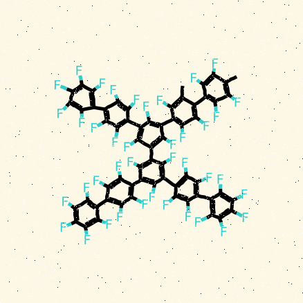 Cc1c(F)c(F)c(-c2c(C)c(F)c(-c3c(F)c(-c4c(F)c(F)c(-c5c(F)c(F)c(F)c(F)c5F)c(F)c4F)c(F)c(-c4c(F)c(-c5c(F)c(F)c(-c6c(F)c(F)c(F)c(F)c6F)c(F)c5F)c(F)c(-c5c(F)c(F)c(-c6c(F)c(F)c(F)c(F)c6F)c(F)c5F)c4F)c3F)c(F)c2F)c(F)c1F